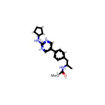 COC(=O)NC(C)Cc1ccc(-c2cnc(NC3CCCC3)nc2)cc1